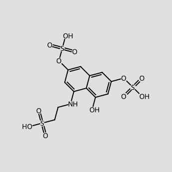 O=S(=O)(O)CCNc1cc(OS(=O)(=O)O)cc2cc(OS(=O)(=O)O)cc(O)c12